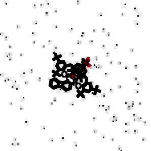 CC(C)(C)c1cc2c(c(C(C)(C)C)c1)OP(c1ccc3c(c1P1Oc4c(cc(C(C)(C)C)cc4C(C)(C)C)Cc4cc(C(C)(C)C)cc(C(C)(C)C)c4O1)-c1ccccc1-3)Oc1c(cc(C(C)(C)C)cc1C(C)(C)C)C2